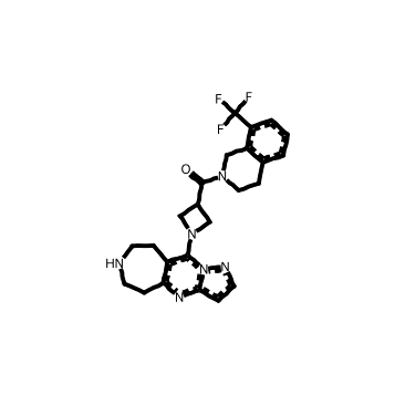 O=C(C1CN(c2c3c(nc4ccnn24)CCNCC3)C1)N1CCc2cccc(C(F)(F)F)c2C1